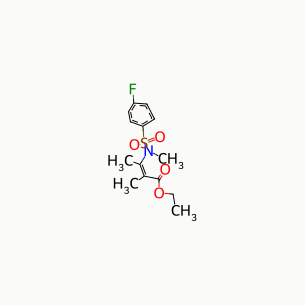 CCOC(=O)C(C)=C(C)N(C)S(=O)(=O)c1ccc(F)cc1